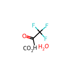 O.O=C(O)C(=O)C(F)(F)F